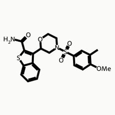 COc1ccc(S(=O)(=O)N2CCOC(c3c(C(N)=O)sc4ccccc34)C2)cc1C